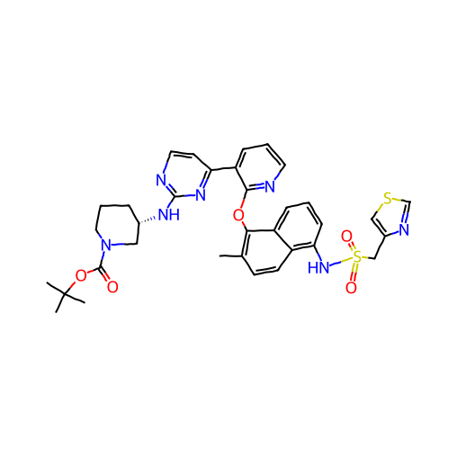 Cc1ccc2c(NS(=O)(=O)Cc3cscn3)cccc2c1Oc1ncccc1-c1ccnc(N[C@H]2CCCN(C(=O)OC(C)(C)C)C2)n1